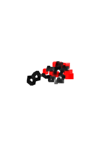 CC(=O)C(O)[C@H]1O[C@@H](OC(=CC(=O)c2ccc3ccccc3c2)C(F)(F)F)[C@@](O)(C(C)=O)[C@](O)(C(C)=O)[C@]1(O)C(C)=O